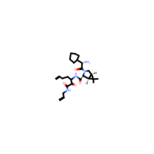 C=CCCC(NC(=O)[C@@H]1[C@H]2[C@@H](CN1C(=O)[C@@H](N)C1CCCCC1)C2(C)C)C(=O)C(=O)NCC=C